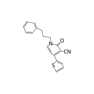 N#Cc1c(-c2cccs2)ccn(CCCc2ccccc2)c1=O